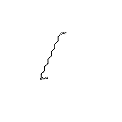 CCCCCCCCCCCCCCCCCCC[CH]OC(C)=O